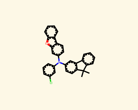 CC1(C)c2ccccc2-c2cc(N(c3cccc(Cl)c3)c3ccc4c(c3)oc3ccccc34)ccc21